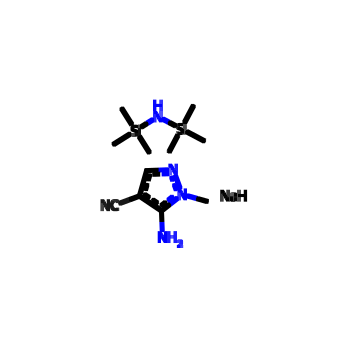 C[Si](C)(C)N[Si](C)(C)C.Cn1ncc(C#N)c1N.[NaH]